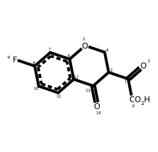 O=C(O)C(=O)C1COc2cc(F)ccc2C1=O